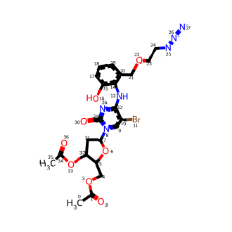 CC(=O)OCC1OC(n2cc(Br)c(Nc3c(O)cccc3COCCN=[N+]=[N-])nc2=O)CC1OC(C)=O